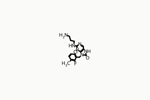 Cc1ccc(Cl)c(Cn2c(=O)[nH]c3cnc(NCCCN)nc32)c1F